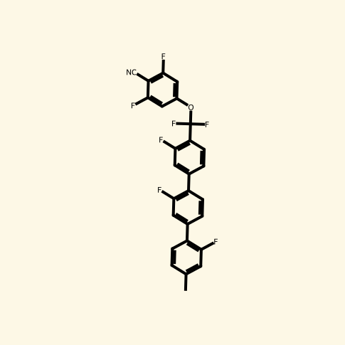 Cc1ccc(-c2ccc(-c3ccc(C(F)(F)Oc4cc(F)c(C#N)c(F)c4)c(F)c3)c(F)c2)c(F)c1